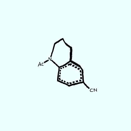 CC(=O)N1CCCc2cc(C#N)ccc21